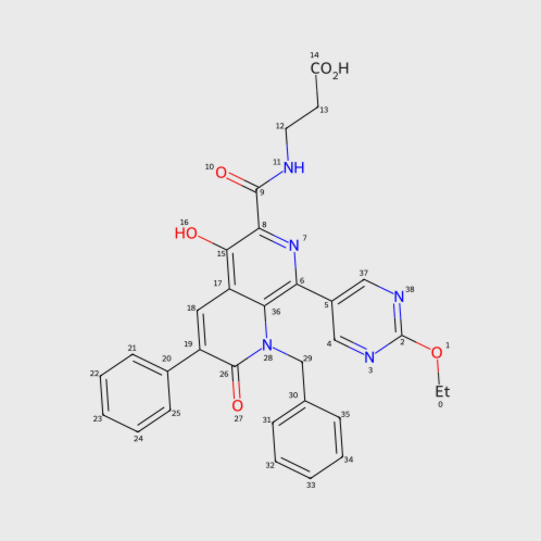 CCOc1ncc(-c2nc(C(=O)NCCC(=O)O)c(O)c3cc(-c4ccccc4)c(=O)n(Cc4ccccc4)c23)cn1